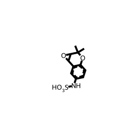 CC1(C)Oc2ccc(NS(=O)(=O)O)cc2C2OC21